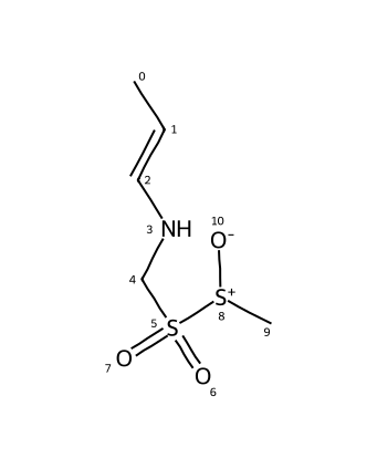 CC=CNCS(=O)(=O)[S+](C)[O-]